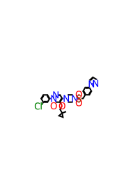 CC1(COc2c(N3CCN(S(=O)(=O)Cc4ccc(-n5cccn5)cc4)CC3)cnn(-c3cccc(Cl)c3)c2=O)CC1